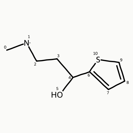 C[N]CCC(O)c1cccs1